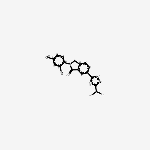 O=C1c2cc(-c3nnc(C(F)F)o3)ccc2CN1c1ccc(Cl)cc1Br